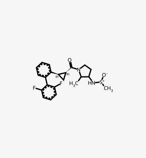 CC1C(N[S+](C)[O-])CCN1C(=O)[C@@H]1C[C@H]1c1ccccc1-c1c(F)cccc1F